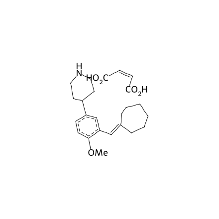 COc1ccc(C2CCNCC2)cc1C=C1CCCCCC1.O=C(O)/C=C\C(=O)O